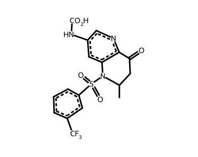 CC1CC(=O)c2ncc(NC(=O)O)cc2N1S(=O)(=O)c1cccc(C(F)(F)F)c1